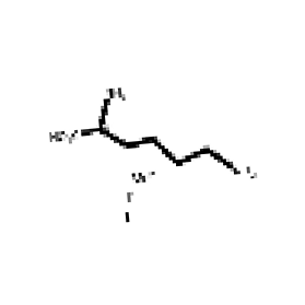 NCCCC[C@H](N)C(=O)O.[I-].[I-].[Mn+2]